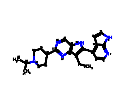 CCc1c(-c2ccnc3[nH]ccc23)[nH]c2cnc(C3CCN(C(C)C)CC3)nc12